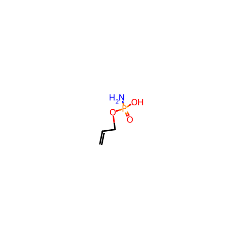 C=CCOP(N)(=O)O